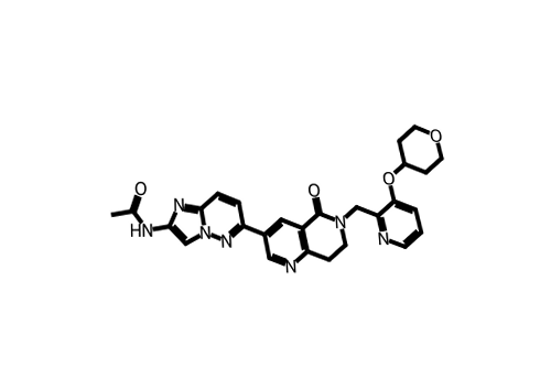 CC(=O)Nc1cn2nc(-c3cnc4c(c3)C(=O)N(Cc3ncccc3OC3CCOCC3)CC4)ccc2n1